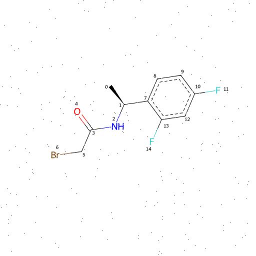 C[C@H](NC(=O)CBr)c1ccc(F)cc1F